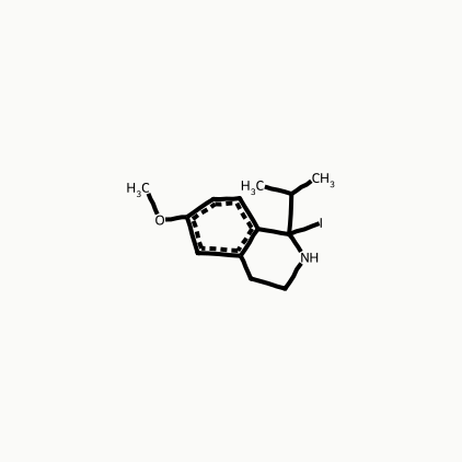 COc1ccc2c(c1)CCNC2(I)C(C)C